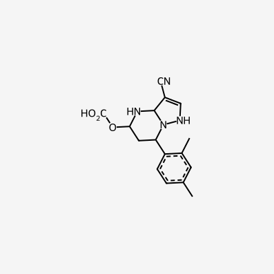 Cc1ccc(C2CC(OC(=O)O)NC3C(C#N)=CNN32)c(C)c1